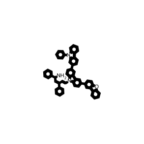 NC(/C=C(\C=C\n1c2ccc(-c3ccc4oc5ccccc5c4c3)cc2c2cc(-c3ccc4c5ccccc5n(-c5ccccc5)c4c3)ccc21)c1ccccc1)c1ccccc1